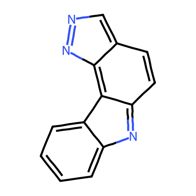 C1=c2ccc3c(c2N=N1)-c1ccccc1N=3